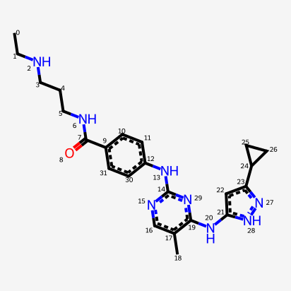 CCNCCCNC(=O)c1ccc(Nc2ncc(C)c(Nc3cc(C4CC4)n[nH]3)n2)cc1